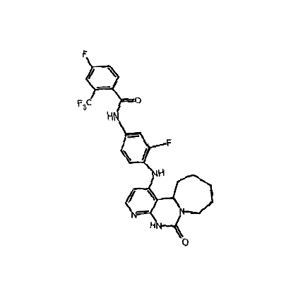 O=C(Nc1ccc(Nc2ccnc3c2C2CCCCCN2C(=O)N3)c(F)c1)c1ccc(F)cc1C(F)(F)F